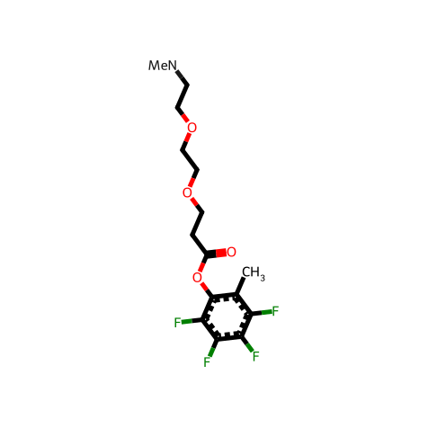 CNCCOCCOCCC(=O)Oc1c(C)c(F)c(F)c(F)c1F